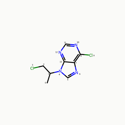 CC(CCl)n1cnc2c(Cl)ncnc21